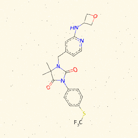 CC1(C)C(=O)N(c2ccc(SC(F)(F)F)cc2)C(=O)N1Cc1ccnc(NC2COC2)c1